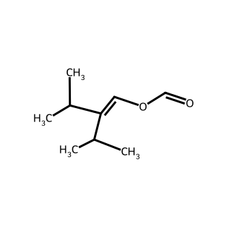 CC(C)C(=COC=O)C(C)C